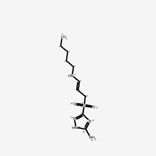 CCCCCNC=CCS(=O)(=O)c1n[nH]c(N)n1